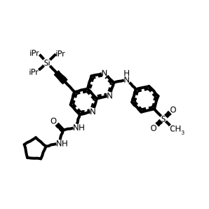 CC(C)[Si](C#Cc1cc(NC(=O)NC2CCCC2)nc2nc(Nc3ccc(S(C)(=O)=O)cc3)ncc12)(C(C)C)C(C)C